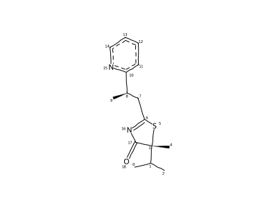 CC(C)[C@@]1(C)SC(C[C@@H](C)c2ccccn2)=NC1=O